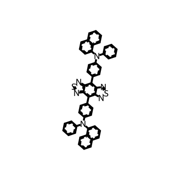 c1ccc(N(c2ccc(-c3c4c(c(-c5ccc(N(c6ccccc6)c6cccc7ccccc67)cc5)c5nsnc35)N=S=N4)cc2)c2cccc3ccccc23)cc1